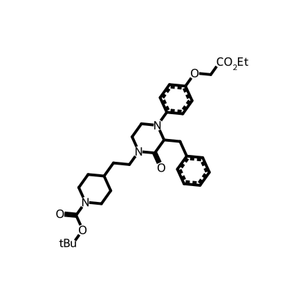 CCOC(=O)COc1ccc(N2CCN(CCC3CCN(C(=O)OC(C)(C)C)CC3)C(=O)C2Cc2ccccc2)cc1